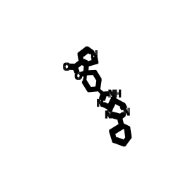 O=C1O[C@]2(CC[C@H](c3nc4nc(-c5ccccc5)ncc4[nH]3)CC2)c2cnccc21